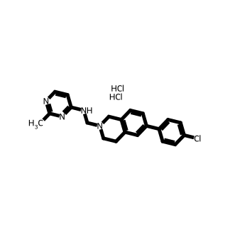 Cc1nccc(NCN2CCc3cc(-c4ccc(Cl)cc4)ccc3C2)n1.Cl.Cl